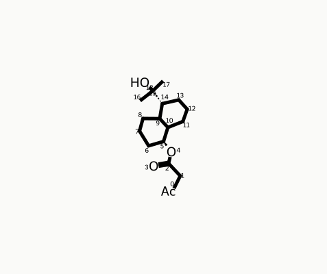 CC(=O)CC(=O)O[C@@H]1CCCC2C1CCC[C@H]2C(C)(C)O